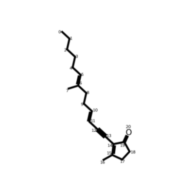 CCCCC/C=C(\C)CC/C=C/C#CC1=C(C)CCC1=O